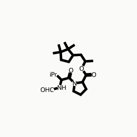 CC(CC1CCC(C)(C)C1(C)C)OC(=O)C1CCCN1C(=O)C(NC=O)C(C)C